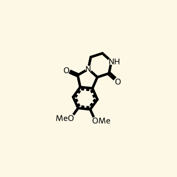 COc1cc2c(cc1OC)C1C(=O)NCCN1C2=O